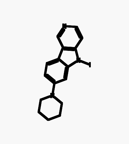 In1c2ccncc2c2ccc(N3CCCCC3)cc21